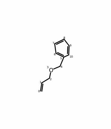 C=CCOCc1ccccc1